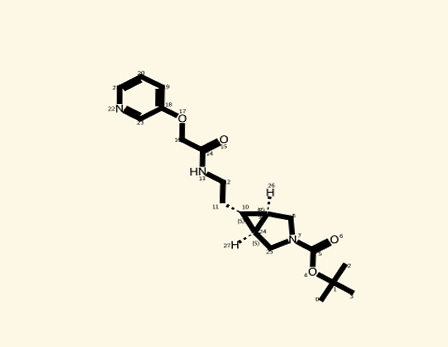 CC(C)(C)OC(=O)N1C[C@@H]2[C@@H](CCNC(=O)COc3cccnc3)[C@@H]2C1